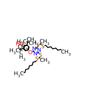 CCCCCCCCSC(C)Sc1nc(Oc2cc(C(C)(C)C)c(O)c(C(C)(C)C)c2)nc(SC(C)SCCCCCCCC)n1